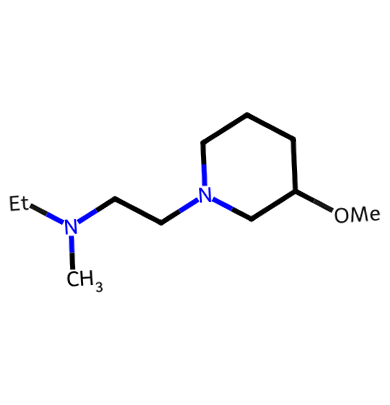 CCN(C)CCN1CCCC(OC)C1